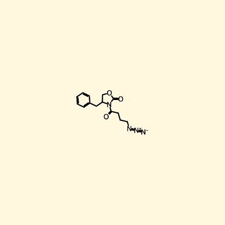 [N-]=[N+]=NCCCC(=O)N1C(=O)OCC1Cc1ccccc1